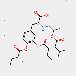 CCCC(=O)Oc1ccc(C[C@H](NCC(C)OC(=O)CC(C)C)C(=O)O)cc1OC(=O)CCC